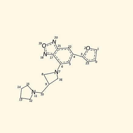 c1coc(-c2cc(N3CC(CN4CCCC4)C3)c3nonc3c2)c1